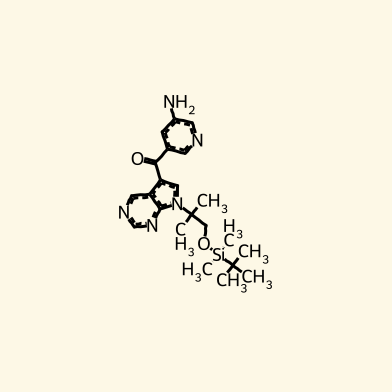 CC(C)(CO[Si](C)(C)C(C)(C)C)n1cc(C(=O)c2cncc(N)c2)c2cncnc21